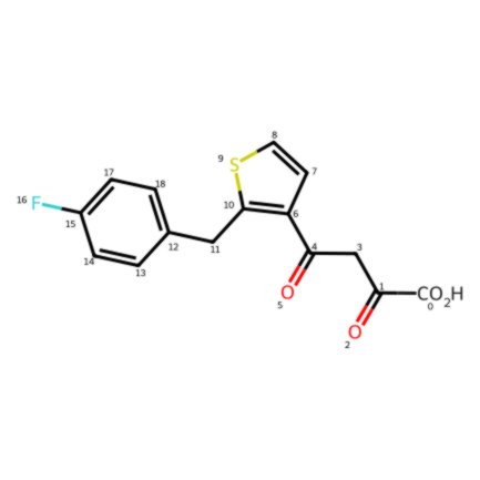 O=C(O)C(=O)CC(=O)c1ccsc1Cc1ccc(F)cc1